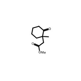 COC(=O)CC1(C)CCCCC1=O